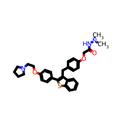 CN(C)NC(=O)COc1ccc(Cc2c(-c3ccc(OCCN4CCCC4)cc3)sc3ccccc23)cc1